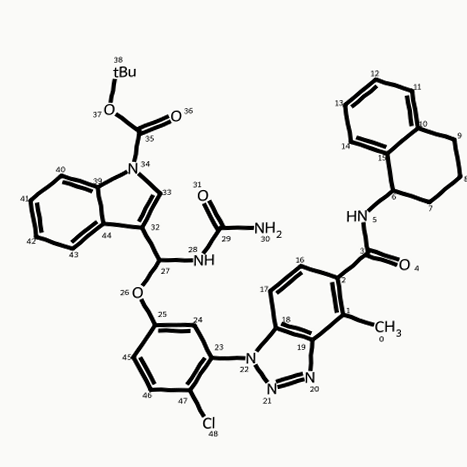 Cc1c(C(=O)NC2CCCc3ccccc32)ccc2c1nnn2-c1cc(OC(NC(N)=O)c2cn(C(=O)OC(C)(C)C)c3ccccc23)ccc1Cl